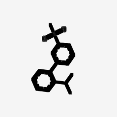 CC(C)c1ccccc1-c1cccc(S(C)(=O)=O)c1